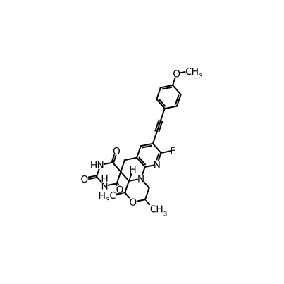 COc1ccc(C#Cc2cc3c(nc2F)N2C[C@@H](C)O[C@@H](C)[C@@H]2C2(C3)C(=O)NC(=O)NC2=O)cc1